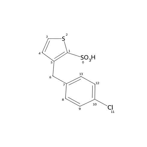 O=S(=O)(O)c1sccc1Cc1ccc(Cl)cc1